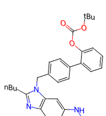 CCCCc1nc2ccc(NCC(C)=O)cc2n1Cc1ccc(-c2ccccc2OC(=O)OC(C)(C)C)cc1